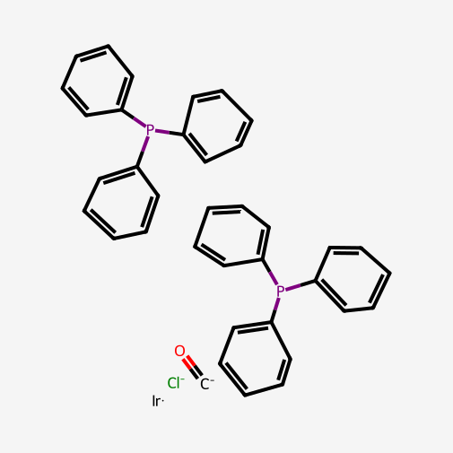 [CH-]=O.[Cl-].[Ir].c1ccc(P(c2ccccc2)c2ccccc2)cc1.c1ccc(P(c2ccccc2)c2ccccc2)cc1